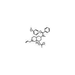 C=CCN1CC[C@@]2(c3cccc(OC)c3)C[C@@H](N(C)C(=O)c3ccccc3)CC(OC(C)=O)[C@@H]2C1